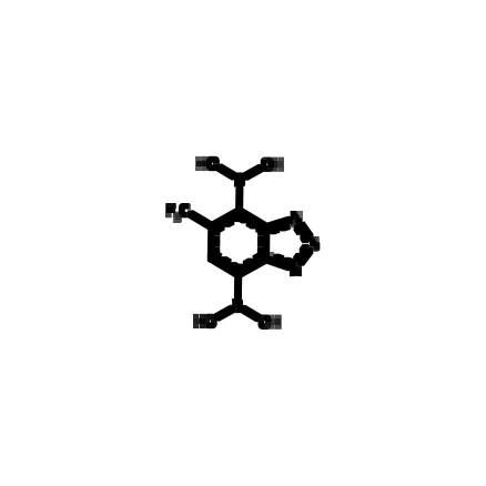 OB(O)c1cc(C(F)(F)F)c(B(O)O)c2nsnc12